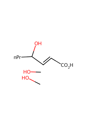 CCCC(O)C=CC(=O)O.CO.CO